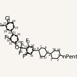 CCCCCC1CCC(C2CCC(c3cc(F)c(C(F)(F)Oc4ccc(-c5ccc(Cl)c(F)c5)c(F)c4)c(F)c3)CC2)CC1